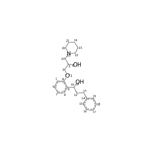 OC(COc1ccccc1C(O)CCc1ccccc1)CN1CCCCC1